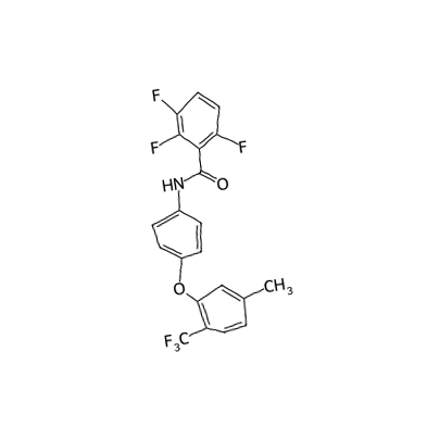 Cc1ccc(C(F)(F)F)c(Oc2ccc(NC(=O)c3c(F)ccc(F)c3F)cc2)c1